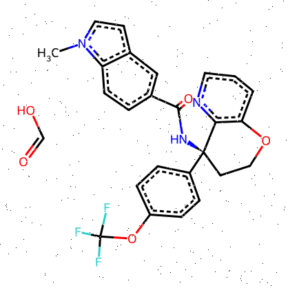 Cn1ccc2cc(C(=O)N[C@]3(c4ccc(OC(F)(F)F)cc4)CCOc4cccnc43)ccc21.O=CO